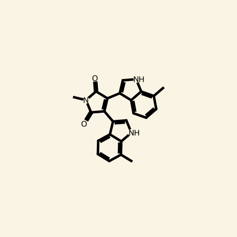 Cc1cccc2c(C3=C(c4c[nH]c5c(C)cccc45)C(=O)N(C)C3=O)c[nH]c12